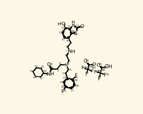 O=C(CCN(CCNCCc1ccc(O)c2[nH]c(=O)sc12)CCc1cc(F)ccc1F)NC1CCCCC1.O=C(O)C(F)(F)F.O=C(O)C(F)(F)F